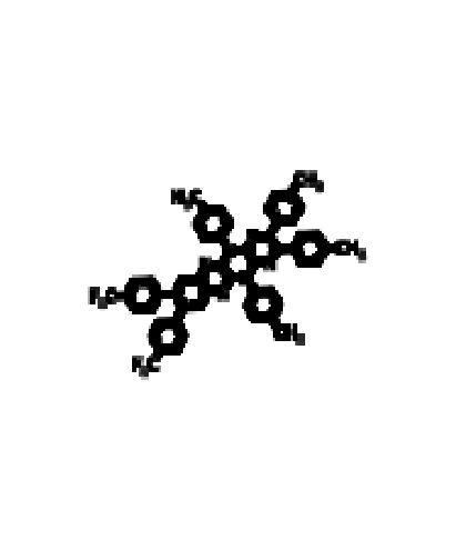 Cc1ccc(-c2nc3c(nc2-c2ccc(C)cc2)N(c2ccc(C)cc2)c2nc4cc(-c5ccc(C(F)(F)F)cc5)c(-c5ccc(C(F)(F)F)cc5)cc4nc2N3c2ccc(C)cc2)cc1